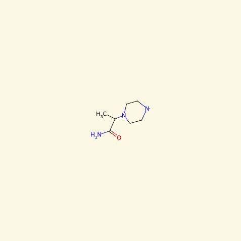 CC(C(N)=O)N1CC[N]CC1